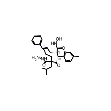 CCCC(CC(C)C)(C(=O)NN)C(=O)[C@@H](c1ccc(C)cc1)[C@H](C/C=C/c1ccccc1)C(=O)NO